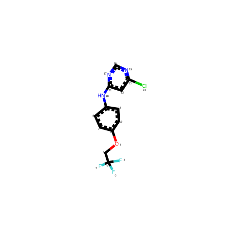 FC(F)(F)COc1ccc(Nc2cc(Cl)ncn2)cc1